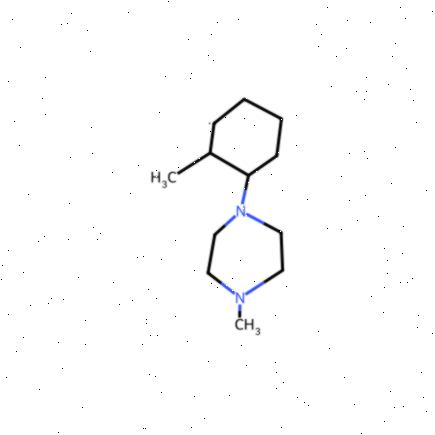 CC1[CH]CCCC1N1CCN(C)CC1